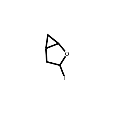 IC1CC2CC2O1